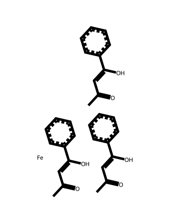 CC(=O)C=C(O)c1ccccc1.CC(=O)C=C(O)c1ccccc1.CC(=O)C=C(O)c1ccccc1.[Fe]